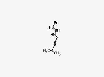 CC(C)C#CCNBBBr